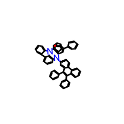 c1ccc(-c2cccc(N(c3ccc4c(c3)c(-c3ccccc3)c(-c3ccccc3)c3ccccc34)c3cccc4c5ccccc5n(-c5ccccc5)c34)c2)cc1